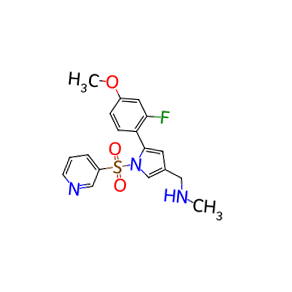 CNCc1cc(-c2ccc(OC)cc2F)n(S(=O)(=O)c2cccnc2)c1